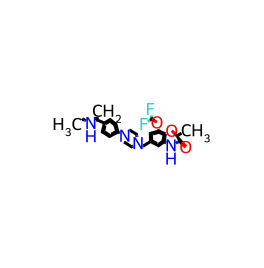 C=C(NCC)c1ccc(N2CCN(Cc3cc4c(c(OC(F)F)c3)OC(C)C(=O)N4)CC2)cc1